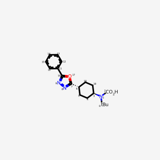 CC(C)(C)N(C(=O)O)[C@H]1CC[C@H](c2nnc(-c3ccccc3)o2)CC1